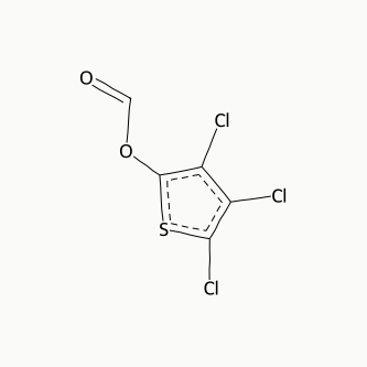 O=COc1sc(Cl)c(Cl)c1Cl